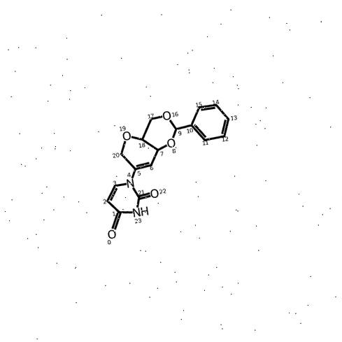 O=c1ccn(C2=CC3OC(c4ccccc4)OCC3OC2)c(=O)[nH]1